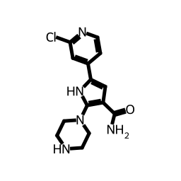 NC(=O)c1cc(-c2ccnc(Cl)c2)[nH]c1N1CCNCC1